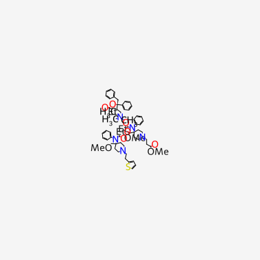 CCC(=O)N(c1ccccc1)C1(C(=O)OC)CCN(CCC(=O)OC)CC1.CCC(=O)N(c1ccccc1)C1(COC)CCN(CCc2cccs2)CC1.CCC(=O)O[C@](Cc1ccccc1)(c1ccccc1)[C@H](C)CN(C)C